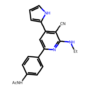 CCNc1nc(-c2ccc(NC(C)=O)cc2)cc(-c2ccc[nH]2)c1C#N